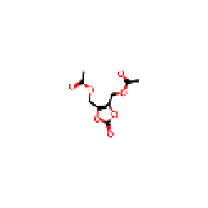 CC(=O)OCc1oc(=O)oc1COC(C)=O